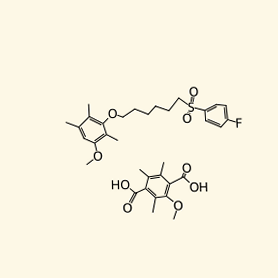 COc1c(C)c(C(=O)O)c(C)c(C)c1C(=O)O.COc1cc(C)c(C)c(OCCCCCCS(=O)(=O)c2ccc(F)cc2)c1C